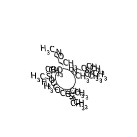 CC[Si](CC)(CC)OC1[C@@H](C)CCC[C@]2(C)[C@H](C[C@@H](/C(C)=C/c3cc(C)no3)OC(=O)C[C@H](O[Si](CC)(CC)CC)C(C)(C)C(=O)[C@@H]1C)N2CCO[Si](C)(C)C(C)(C)C